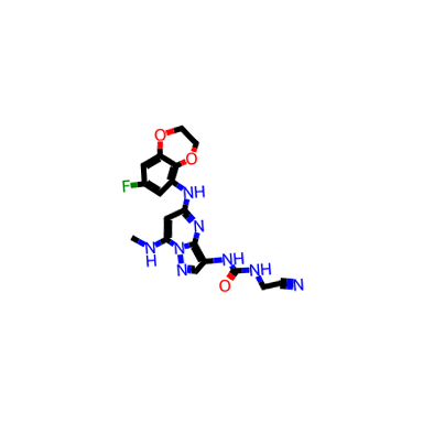 CNc1cc(Nc2cc(F)cc3c2OCCO3)nc2c(NC(=O)NCC#N)cnn12